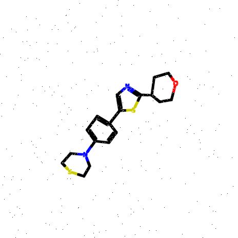 c1cc(N2CCSCC2)ccc1-c1cnc(C2CCOCC2)s1